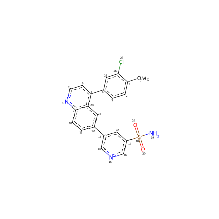 COc1ccc(-c2ccnc3ccc(-c4cncc(S(N)(=O)=O)c4)cc23)cc1Cl